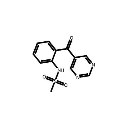 CS(=O)(=O)Nc1ccccc1C(=O)c1cncnc1